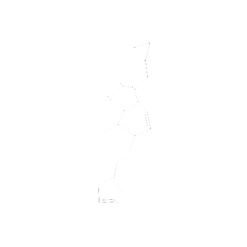 Brc1c(OCc2cnco2)ccc2c1nnn2CC1CC1